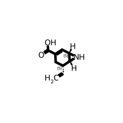 C=C[C@@H]1CC(C(=O)O)=C[C@@H]2N[C@H]12